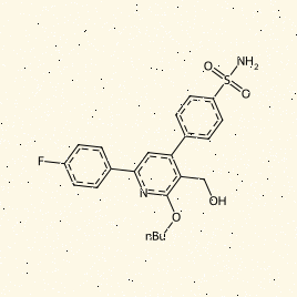 CCCCOc1nc(-c2ccc(F)cc2)cc(-c2ccc(S(N)(=O)=O)cc2)c1CO